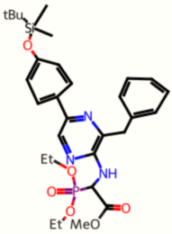 CCOP(=O)(OCC)C(Nc1ncc(-c2ccc(O[Si](C)(C)C(C)(C)C)cc2)nc1Cc1ccccc1)C(=O)OC